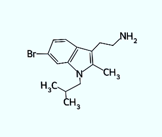 Cc1c(CCN)c2ccc(Br)cc2n1CC(C)C